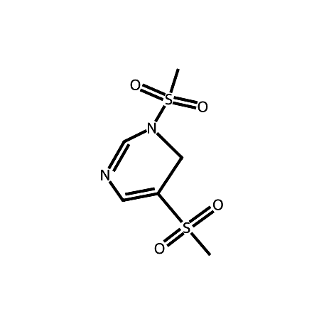 CS(=O)(=O)C1=CN=CN(S(C)(=O)=O)C1